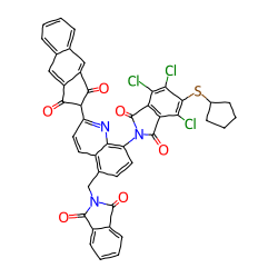 O=C1c2cc3ccccc3cc2C(=O)C1c1ccc2c(CN3C(=O)c4ccccc4C3=O)ccc(N3C(=O)c4c(Cl)c(Cl)c(SC5CCCC5)c(Cl)c4C3=O)c2n1